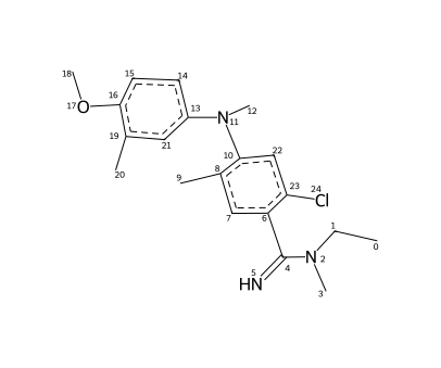 CCN(C)C(=N)c1cc(C)c(N(C)c2ccc(OC)c(C)c2)cc1Cl